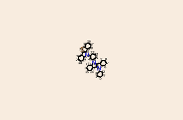 c1ccc(-n2c3ccccc3c3c2c2ccccc2n3-c2cccc(-n3c4ccccc4c4sc5ccccc5c43)c2)cc1